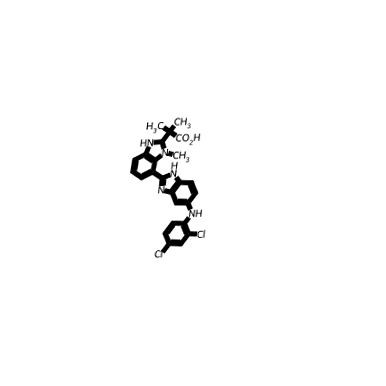 CN1c2c(cccc2-c2nc3cc(Nc4ccc(Cl)cc4Cl)ccc3[nH]2)NC1C(C)(C)C(=O)O